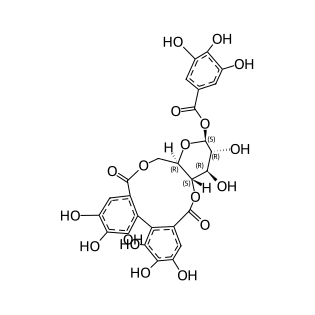 O=C(O[C@@H]1O[C@@H]2COC(=O)c3cc(O)c(O)c(O)c3-c3c(cc(O)c(O)c3O)C(=O)O[C@H]2[C@H](O)[C@H]1O)c1cc(O)c(O)c(O)c1